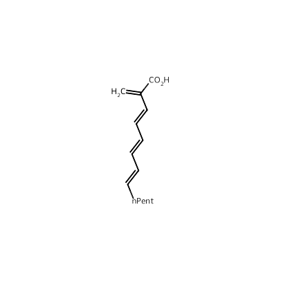 C=C(C=CC=CC=CCCCCC)C(=O)O